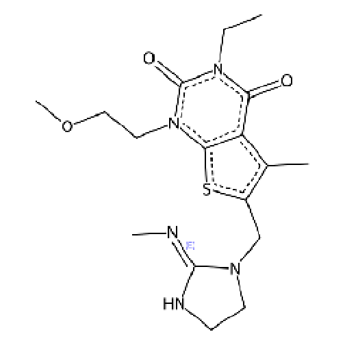 CCn1c(=O)c2c(C)c(CN3CCN/C3=N\C)sc2n(CCOC)c1=O